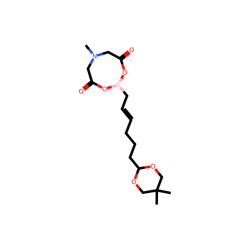 CN1CC(=O)OB(CC=CCCCC2OCC(C)(C)CO2)OC(=O)C1